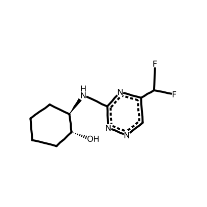 O[C@@H]1CCCC[C@H]1Nc1nncc(C(F)F)n1